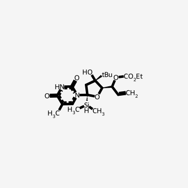 C=CC(OC(=O)OCC)[C@H]1O[C@](n2cc(C)c(=O)[nH]c2=O)([SiH](C)C)C[C@@]1(O)C(C)(C)C